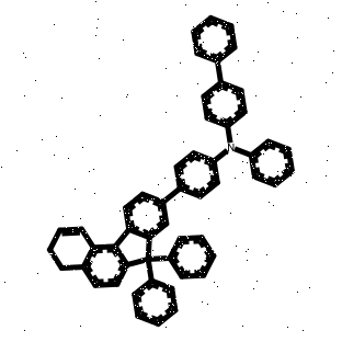 C1=Cc2c(ccc3c2-c2ccc(-c4ccc(N(c5ccccc5)c5ccc(-c6ccccc6)cc5)cc4)cc2C3(c2ccccc2)c2ccccc2)CC1